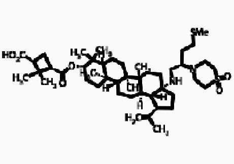 C=C(C)[C@@H]1CC[C@]2(NC[C@@H](CCSC)N3CCS(=O)(=O)CC3)CC[C@]3(C)[C@H](CC[C@@H]4[C@@]5(C)CC[C@H](OC(=O)[C@@H]6C[C@H](C(=O)O)C6(C)C)C(C)(C)[C@@H]5CC[C@]43C)[C@@H]12